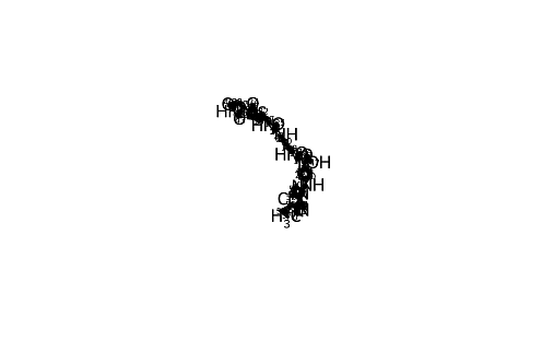 Cn1ncc(-c2nc(N[C@H]3CC[C@H](N(CC(=O)NCCCCNCC(=O)NCc4cc5c(s4)C(=O)N(C4CCC(=O)NC4=O)C5)C(=O)O)CC3)ncc2Cl)c1CC1CC1